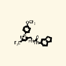 O=C(NCc1cc(C(F)(F)F)nn1-c1ccc(OC(F)(F)F)cc1)Nc1ccc2c(c1)CCC2